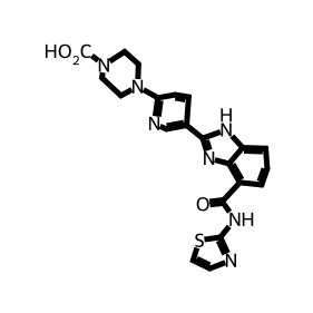 O=C(Nc1nccs1)c1cccc2[nH]c(-c3ccc(N4CCN(C(=O)O)CC4)nc3)nc12